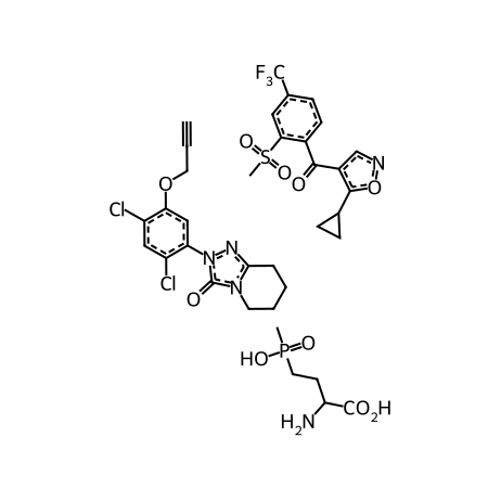 C#CCOc1cc(-n2nc3n(c2=O)CCCC3)c(Cl)cc1Cl.CP(=O)(O)CCC(N)C(=O)O.CS(=O)(=O)c1cc(C(F)(F)F)ccc1C(=O)c1cnoc1C1CC1